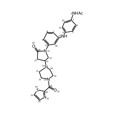 CC(=O)Nc1ccc(Nc2cccc(N3CC(N4CCN(C(=O)c5nccs5)CC4)CC3=O)c2)cc1